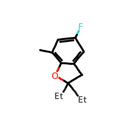 CCC1(CC)Cc2cc(F)cc(C)c2O1